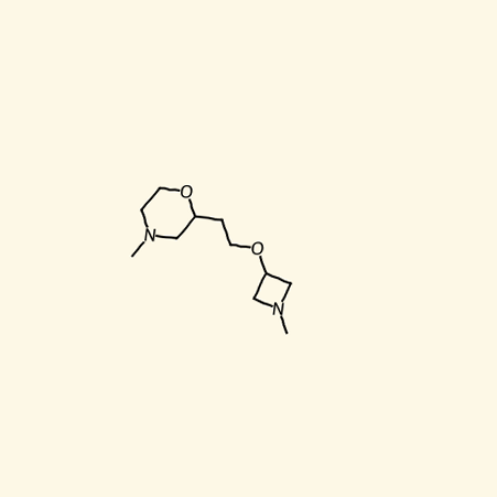 CN1CCOC(CCOC2CN(C)C2)C1